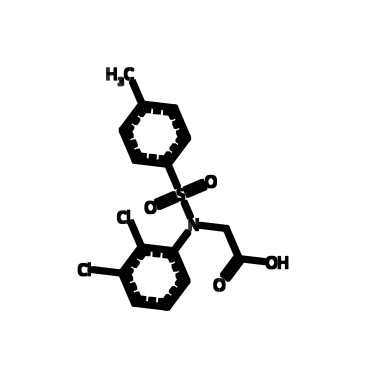 Cc1ccc(S(=O)(=O)N(CC(=O)O)c2cccc(Cl)c2Cl)cc1